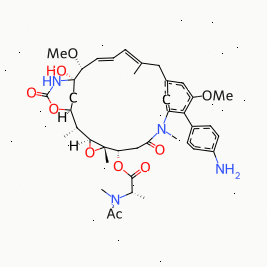 COc1cc2cc(c1-c1ccc(N)cc1)N(C)C(=O)C[C@H](OC(=O)[C@H](C)N(C)C(C)=O)[C@]1(C)O[C@H]1[C@H](C)[C@@H]1C[C@@](O)(NC(=O)O1)[C@H](OC)/C=C/C=C(\C)C2